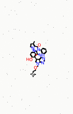 Cc1ccn2nc([C@H](C)Nc3ncnc4c3c(-c3ccccc3O)cn4COCC[Si](C)(C)C)n(-c3ccccc3)c(=O)c12